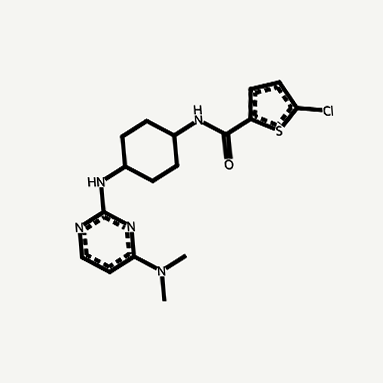 CN(C)c1ccnc(NC2CCC(NC(=O)c3ccc(Cl)s3)CC2)n1